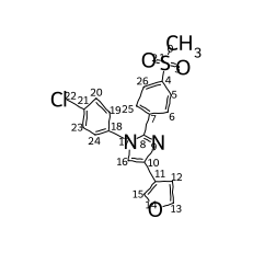 CS(=O)(=O)c1ccc(-c2nc(-c3ccoc3)cn2-c2ccc(Cl)cc2)cc1